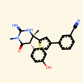 CN1C(=N)N[C@](C)(c2cc(-c3cccc(C#N)c3)cs2)[C@H](c2ccc(O)cc2)C1=O